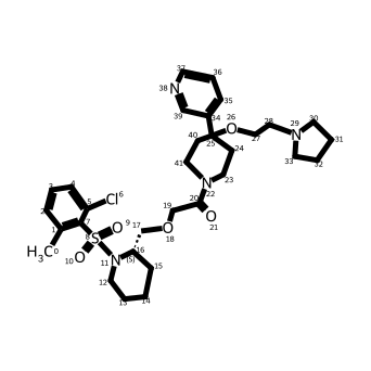 Cc1cccc(Cl)c1S(=O)(=O)N1CCCC[C@H]1COCC(=O)N1CCC(OCCN2CCCC2)(c2cccnc2)CC1